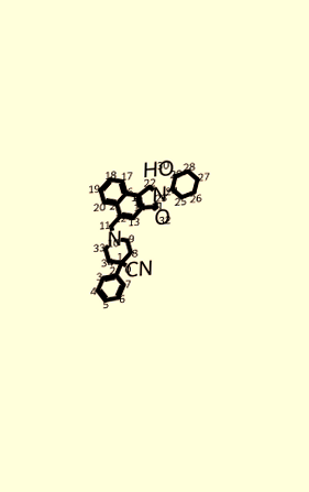 N#CC1(c2ccccc2)CCN(Cc2cc3c(c4ccccc24)CN([C@H]2CCCC[C@@H]2O)C3=O)CC1